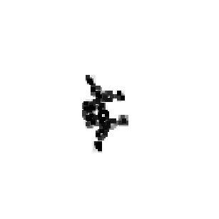 N#Cc1ccc(N(c2ccc(C#N)cc2)c2cc3oc4ccc5oc6cc(N(c7ccc(C#N)cc7)c7ccc(C#N)cc7)c7ccccc7c6c5c4c3c3ccccc23)cc1